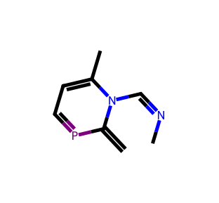 C=C1P=CC=C(C)N1/C=N\C